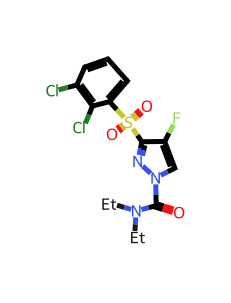 CCN(CC)C(=O)n1cc(F)c(S(=O)(=O)c2cccc(Cl)c2Cl)n1